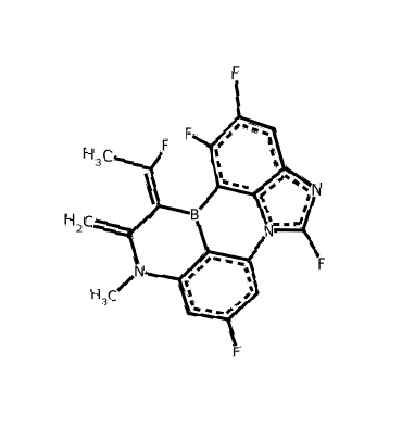 C=C1/C(=C(\C)F)B2c3c(cc(F)cc3-n3c(F)nc4cc(F)c(F)c2c43)N1C